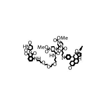 CC#C[C@]12CC[C@H]3[C@@H]4CCC5=CC(=O)CCC5=C4[C@@H](c4ccc(N(C)CCCC(=O)N5CCN(C(=O)OC)CC5C(=O)N5CCN(C(=O)OC)CC5C(=O)NCCCOCCOCCOCCCNc5cccc6c5C(=O)N(C5CCC(=O)NC5=O)C6=O)cc4)C[C@@]31CO2